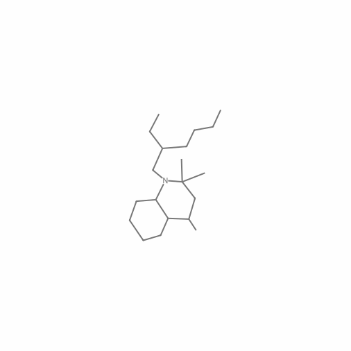 CCCCC(CC)CN1C2CCCCC2C(C)CC1(C)C